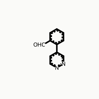 O=Cc1ccccc1-c1ccnnc1